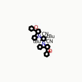 CC(C)(C)c1c(C#N)c(-n2c3ccccc3c3c4c(ccc32)oc2ccccc24)c(C(C)(C)C)c(-n2c3ccccc3c3c4c(ccc32)oc2ccccc24)c1C#N